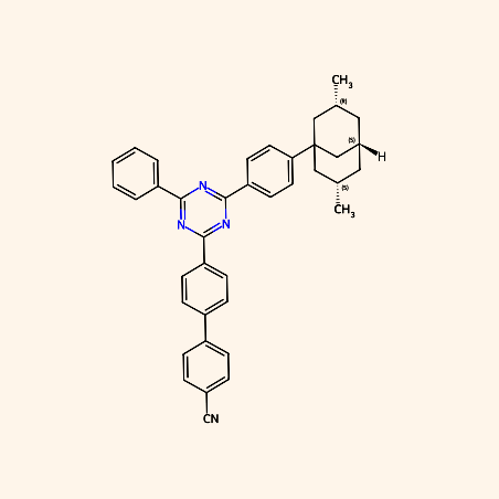 C[C@@H]1C[C@@H]2C[C@H](C)CC(c3ccc(-c4nc(-c5ccccc5)nc(-c5ccc(-c6ccc(C#N)cc6)cc5)n4)cc3)(C1)C2